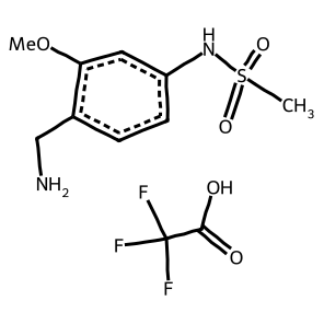 COc1cc(NS(C)(=O)=O)ccc1CN.O=C(O)C(F)(F)F